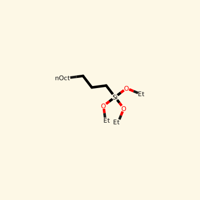 [CH2]CCCCCCCCCC[Si](OCC)(OCC)OCC